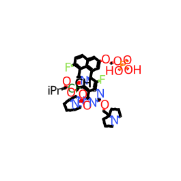 C#Cc1c(F)ccc2cc(OCOP(=O)(O)O)cc(-c3nc(Cl)c4c(N5CC6CCC(C5)N6C(=O)OC(C)OC(=O)C(C)C)nc(OCC56CCCN5CCC6)nc4c3F)c12